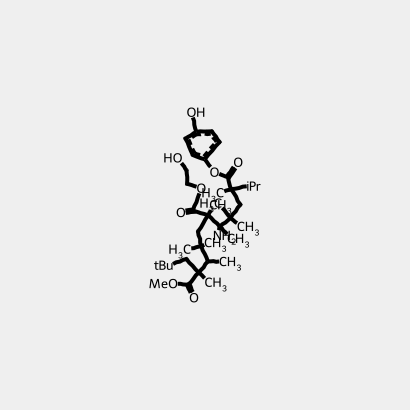 COC(=O)C(C)(CC(C)(C)C)C(C)C(C)(C)CC(C)(C(=O)OCCO)C(C)(N)C(C)(C)CC(C)(C(=O)Oc1ccc(O)cc1)C(C)C